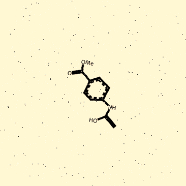 C=C(O)Nc1ccc(C(=O)OC)cc1